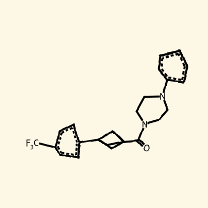 O=C(N1CCN(c2ccccc2)CC1)C12CC(c3ccc(C(F)(F)F)cc3)(C1)C2